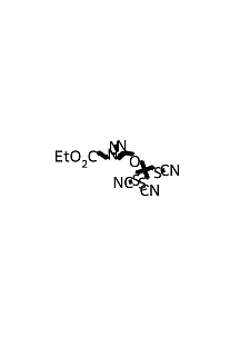 CCOC(=O)CCn1cc(COCC(CSC#N)(CSC#N)CSC#N)nn1